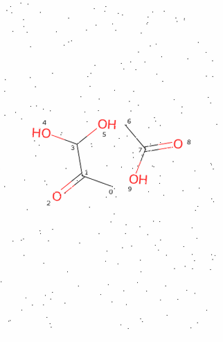 CC(=O)C(O)O.CC(=O)O